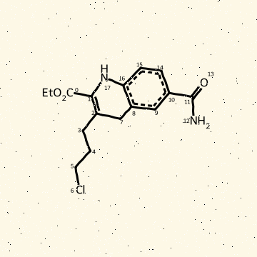 CCOC(=O)C1=C(CCCCl)Cc2cc(C(N)=O)ccc2N1